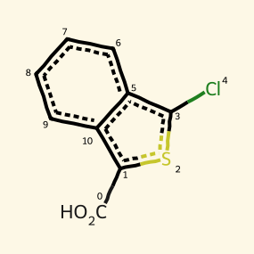 O=C(O)c1sc(Cl)c2ccccc12